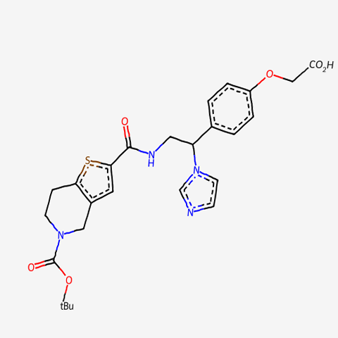 CC(C)(C)OC(=O)N1CCc2sc(C(=O)NCC(c3ccc(OCC(=O)O)cc3)n3ccnc3)cc2C1